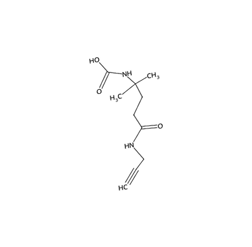 C#CCNC(=O)CCC(C)(C)NC(=O)O